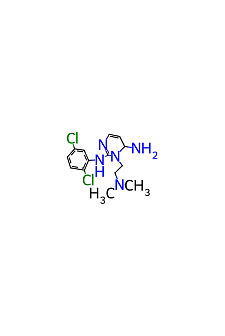 CN(C)CCN1C(Nc2cc(Cl)ccc2Cl)=NC=CC1N